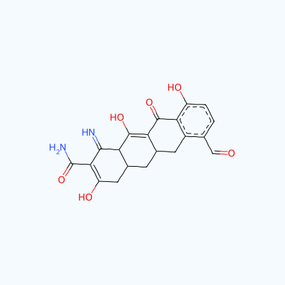 N=C1C(C(N)=O)=C(O)CC2CC3Cc4c(C=O)ccc(O)c4C(=O)C3=C(O)C12